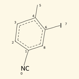 [C-]#[N+]c1ccc(C)c(I)c1